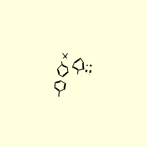 CCC(O)(O)Oc1ccccc1.COc1ccccc1.Cc1ccccc1.N=C=O.N=C=O